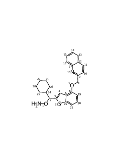 NOC(c1cc2c(OCc3ccc4ccccc4n3)cccc2s1)C1CCCCC1